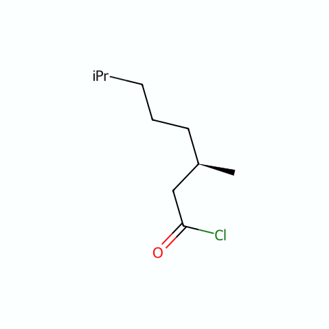 CC(C)CCC[C@@H](C)CC(=O)Cl